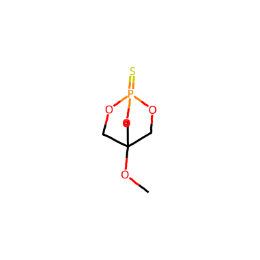 COC12COP(=S)(OC1)OC2